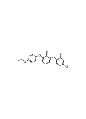 CCOc1ccc(Oc2cccn(Cc3ccc(Cl)cc3Cl)c2=O)cc1